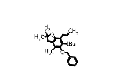 C=CCc1c2c(c(C)c(OCc3ccccc3)c1C(C)(C)C)CC(C)(C)O2